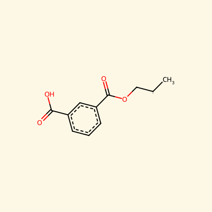 C[CH]COC(=O)c1cccc(C(=O)O)c1